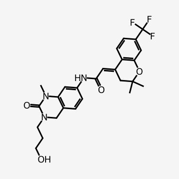 CN1C(=O)N(CCCO)Cc2ccc(NC(=O)/C=C3\CC(C)(C)Oc4cc(C(F)(F)F)ccc43)cc21